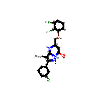 CSc1c(-c2cccc(Cl)c2)nn2c(O)cc(CSc3cccc(F)c3F)nc12